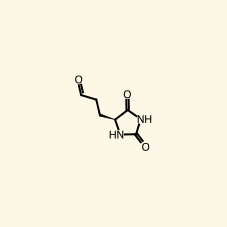 O=CCC[C@@H]1NC(=O)NC1=O